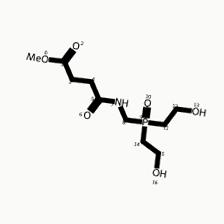 COC(=O)CCC(=O)NCP(=O)(CCO)CCO